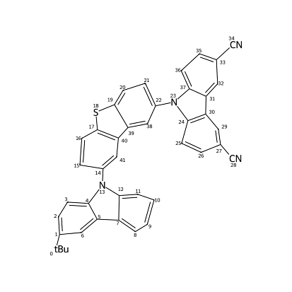 CC(C)(C)c1ccc2c(c1)c1ccccc1n2-c1ccc2sc3ccc(-n4c5ccc(C#N)cc5c5cc(C#N)ccc54)cc3c2c1